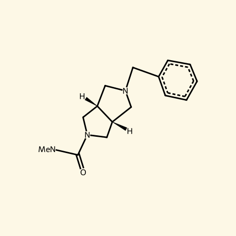 CNC(=O)N1C[C@H]2CN(Cc3ccccc3)C[C@H]2C1